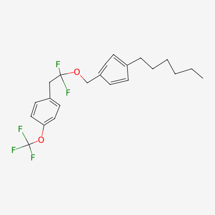 CCCCCCc1ccc(COC(F)(F)Cc2ccc(OC(F)(F)F)cc2)cc1